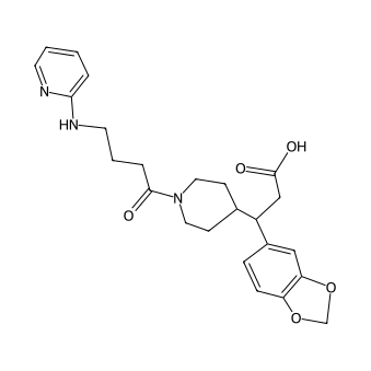 O=C(O)CC(c1ccc2c(c1)OCO2)C1CCN(C(=O)CCCNc2ccccn2)CC1